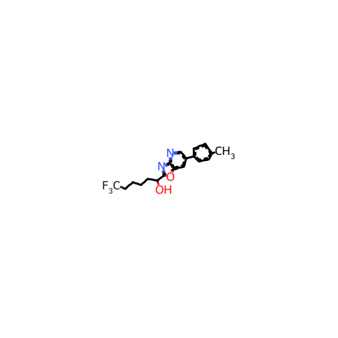 Cc1ccc(-c2cnc3nc(C(O)CCCCC(F)(F)F)oc3c2)cc1